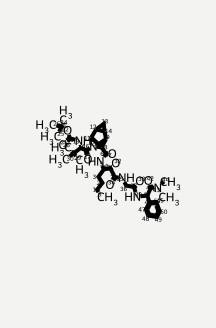 CCCCC(NC(=O)C1C2CC(C3CC32)N1C(=O)[C@H](NC(=O)OC(C)(C)C)C(C)(C)C)C(=O)C(=O)NCC(=O)NC(C(=O)N(C)C)c1ccccc1